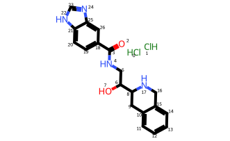 Cl.Cl.O=C(NCC(O)C1Cc2ccccc2CN1)c1ccc2[nH]cnc2c1